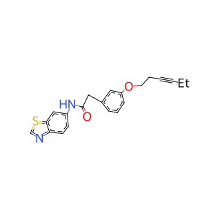 CCC#CCCOc1cccc(CC(=O)Nc2ccc3ncsc3c2)c1